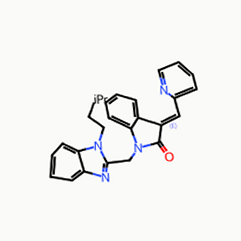 CC(C)CCn1c(CN2C(=O)/C(=C/c3ccccn3)c3ccccc32)nc2ccccc21